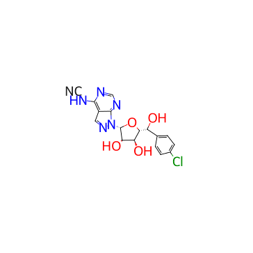 N#CNc1ncnc2c1cnn2[C@@H]1O[C@H](C(O)c2ccc(Cl)cc2)[C@@H](O)[C@H]1O